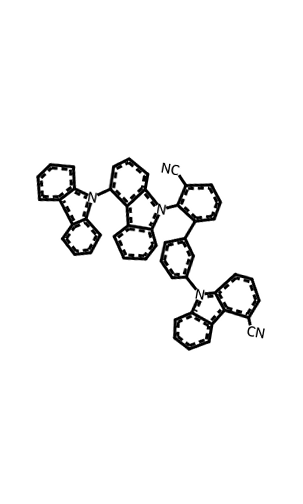 N#Cc1cccc(-c2cccc(-n3c4ccccc4c4c(C#N)cccc43)c2)c1-n1c2ccccc2c2c(-n3c4ccccc4c4ccccc43)cccc21